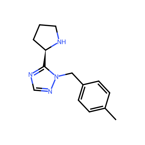 Cc1ccc(Cn2ncnc2[C@H]2CCCN2)cc1